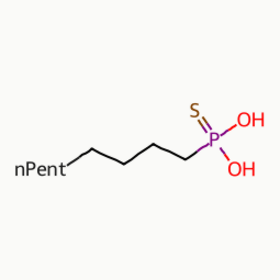 CCCCCCCCCP(O)(O)=S